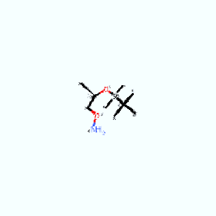 C[C@H](CON)O[Si](C)(C)C(C)(C)C